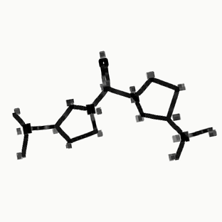 CN(C)C1CCN(C(=O)N2CCC(N(C)C)C2)C1